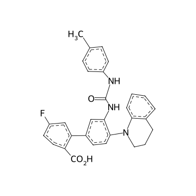 Cc1ccc(NC(=O)Nc2cc(-c3cc(F)ccc3C(=O)O)ccc2N2CCCc3ccccc32)cc1